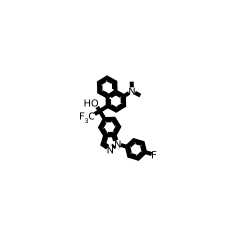 CN(C)c1ccc(C(O)(c2ccc3c(cnn3-c3ccc(F)cc3)c2)C(F)(F)F)c2ccccc12